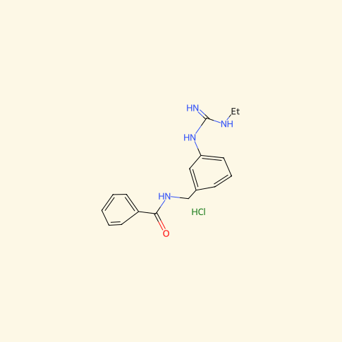 CCNC(=N)Nc1cccc(CNC(=O)c2ccccc2)c1.Cl